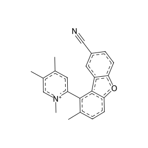 Cc1cc(-c2c(C)ccc3oc4ccc(C#N)cc4c23)[n+](C)cc1C